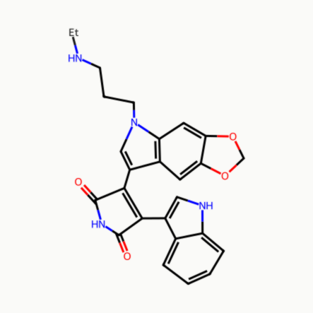 CCNCCCn1cc(C2=C(c3c[nH]c4ccccc34)C(=O)NC2=O)c2cc3c(cc21)OCO3